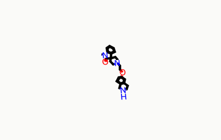 CN1C(=O)C2(CCN(CCOc3ccc4c(c3)CCNC4)CC2)c2ccccc21